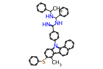 Cc1c(Sc2ccccc2)ccc2c1c1ccc3ccccc3c1n2-c1ccc(C(=N)NC(NC(C)c2ccccc2)c2ccccc2)cc1